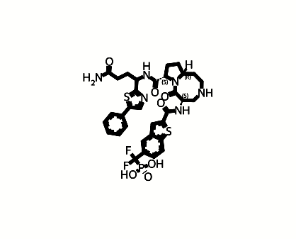 NC(=O)CCC(NC(=O)[C@@H]1CC[C@@H]2CCNC[C@H](NC(=O)c3cc4cc(C(F)(F)P(=O)(O)O)ccc4s3)C(=O)N21)c1ncc(-c2ccccc2)s1